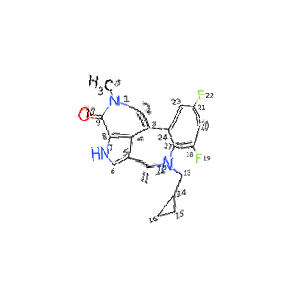 Cn1cc2c3c(c[nH]c3c1=O)CN(CC1CC1)c1c(F)cc(F)cc1-2